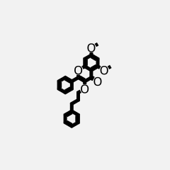 COc1cc(OC)c2c(=O)c(OCCCc3ccccc3)c(-c3ccccc3)oc2c1